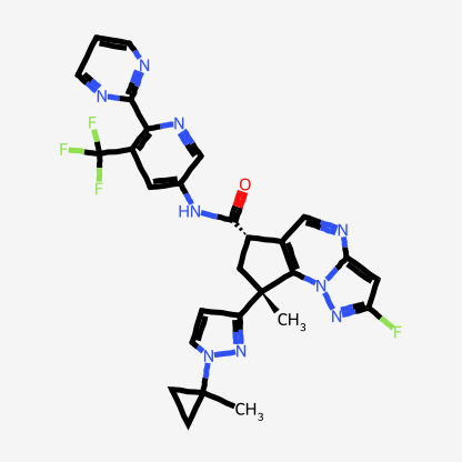 CC1(n2ccc([C@]3(C)C[C@H](C(=O)Nc4cnc(-c5ncccn5)c(C(F)(F)F)c4)c4cnc5cc(F)nn5c43)n2)CC1